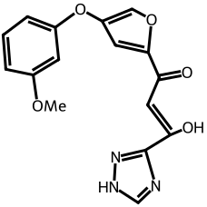 COc1cccc(Oc2coc(C(=O)C=C(O)c3nc[nH]n3)c2)c1